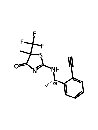 C#Cc1ccccc1[C@H](C)NC1=NC(=O)C(C)(C(F)(F)F)S1